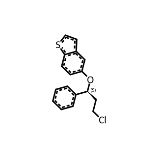 ClCC[C@H](Oc1ccc2sccc2c1)c1ccccc1